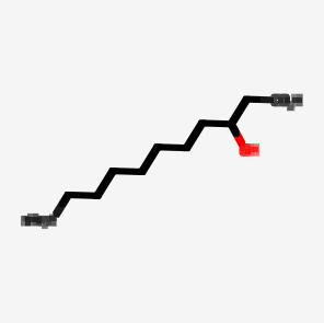 CCCCCCCCCCCCCCC(O)CC(=O)O